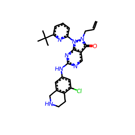 C=CCn1c(=O)c2cnc(Nc3cc(Cl)c4c(c3)CNCC4)nc2n1-c1cccc(C(C)(C)C)n1